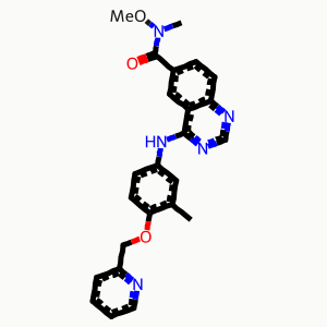 CON(C)C(=O)c1ccc2ncnc(Nc3ccc(OCc4ccccn4)c(C)c3)c2c1